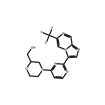 OCC1CN(c2ccnc(-c3cnc4cnc(C(F)(F)F)cn34)n2)CCO1